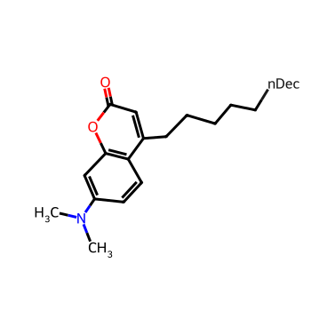 CCCCCCCCCCCCCCCc1cc(=O)oc2cc(N(C)C)ccc12